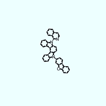 c1ccc2c(-n3c4ccccc4c4c5c6ccccc6n(-c6ccc7c(c6)oc6ccccc67)c5ccc43)nccc2c1